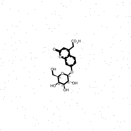 O=C(O)Cc1cc(=O)oc2cc(O[C@@H]3O[C@H](CO)[C@H](O)[C@H](O)[C@H]3O)ccc12